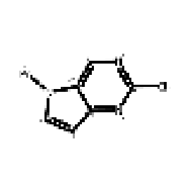 CC(C)n1ccc2nc(Cl)ncc21